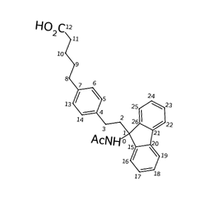 CC(=O)NC1(CCc2ccc(CCCCC(=O)O)cc2)c2ccccc2-c2ccccc21